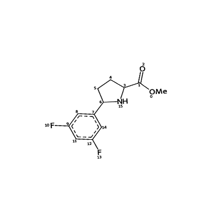 COC(=O)C1CCC(c2cc(F)cc(F)c2)N1